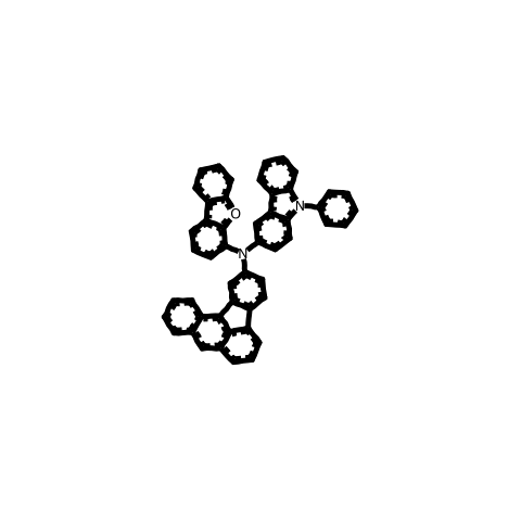 c1ccc(-n2c3ccccc3c3cc(N(c4ccc5c(c4)-c4c6ccccc6cc6cccc-5c46)c4cccc5c4oc4ccccc45)ccc32)cc1